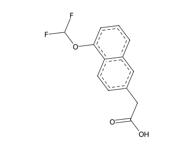 O=C(O)Cc1ccc2c(OC(F)F)cccc2c1